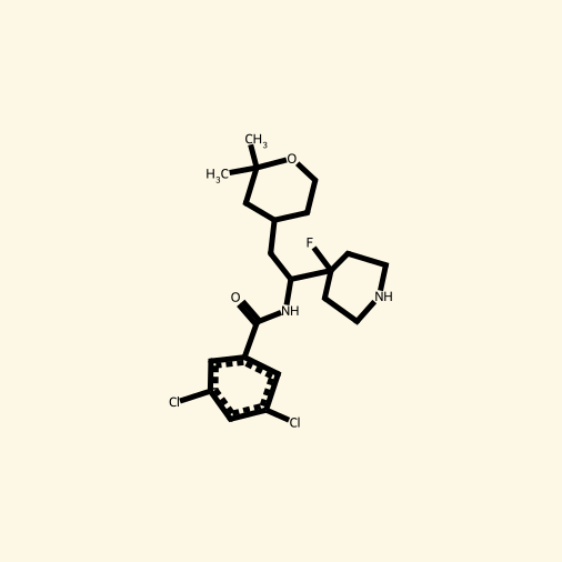 CC1(C)CC(CC(NC(=O)c2cc(Cl)cc(Cl)c2)C2(F)CCNCC2)CCO1